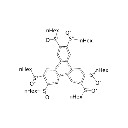 CCCCCC[S+]([O-])c1cc2c3cc([S+]([O-])CCCCCC)c([S+]([O-])CCCCCC)cc3c3cc([S+]([O-])CCCCCC)c([S+]([O-])CCCCCC)cc3c2cc1[S+]([O-])CCCCCC